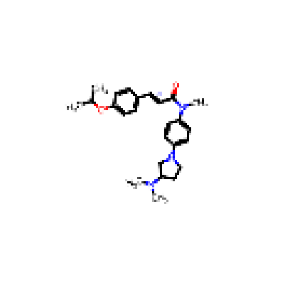 CC(C)Oc1ccc(/C=C/C(=O)N(C)c2ccc(N3CCC(N(C)C)C3)cc2)cc1